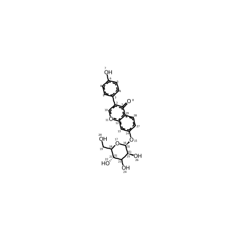 O=c1c(-c2ccc(O)cc2)coc2cc(O[C@@H]3OC(CO)[C@@H](O)C(O)[C@@H]3O)ccc12